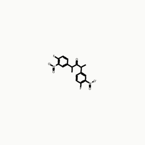 CC(C(=O)C(C)c1ccc(F)c([N+](=O)[O-])c1)c1ccc(F)c([N+](=O)[O-])c1